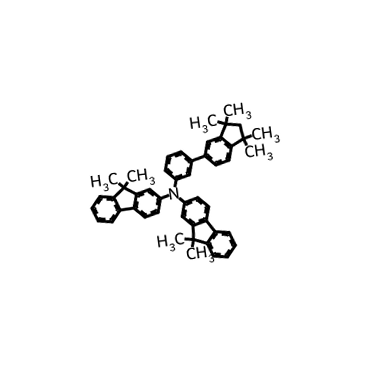 CC1(C)CC(C)(C)c2cc(-c3cccc(N(c4ccc5c(c4)C(C)(C)c4ccccc4-5)c4ccc5c(c4)C(C)(C)c4ccccc4-5)c3)ccc21